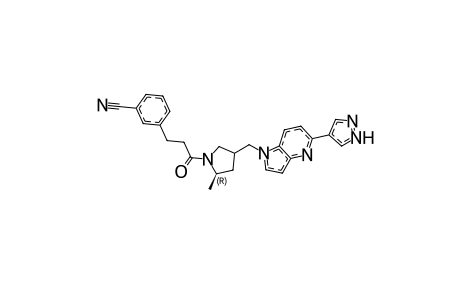 C[C@@H]1CC(Cn2ccc3nc(-c4cn[nH]c4)ccc32)CN1C(=O)CCc1cccc(C#N)c1